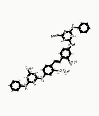 CNc1nc(Nc2ccccc2)nc(Nc2ccc(C=Cc3ccc(Nc4nc(NC)nc(Nc5ccccc5)n4)cc3S(=O)(=O)O)c(S(=O)(=O)O)c2)n1.[NaH]